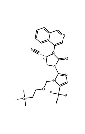 C[Si](C)(C)CCOCn1c(C(F)(F)F)cnc1N1C[C@H](C#N)N(c2cncc3ccccc23)C1=O